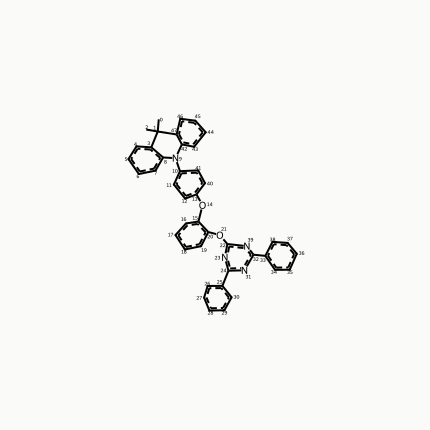 CC1(C)c2ccccc2N(c2ccc(Oc3ccccc3Oc3nc(-c4ccccc4)nc(-c4ccccc4)n3)cc2)c2ccccc21